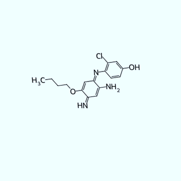 CCCCOC1=C/C(=N/c2ccc(O)cc2Cl)C(N)=CC1=N